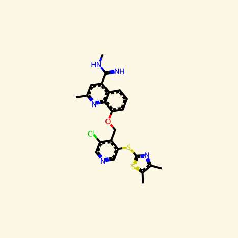 CNC(=N)c1cc(C)nc2c(OCc3c(Cl)cncc3Sc3nc(C)c(C)s3)cccc12